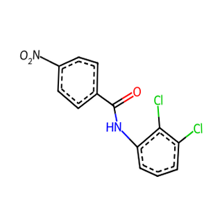 O=C(Nc1cccc(Cl)c1Cl)c1ccc([N+](=O)[O-])cc1